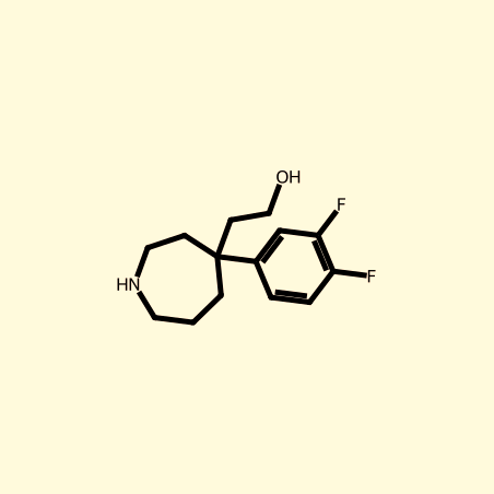 OCCC1(c2ccc(F)c(F)c2)CCCNCC1